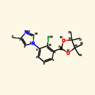 Cc1cn(-c2cccc(B3OC(C)(C)C(C)(C)O3)c2F)cn1